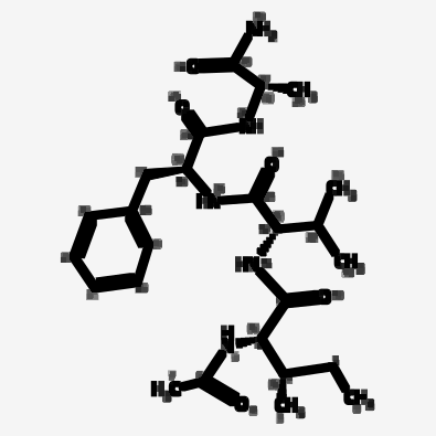 CC[C@H](C)[C@H](NC(C)=O)C(=O)N[C@H](C(=O)N[C@@H](Cc1ccccc1)C(=O)N[C@@H](C)C(N)=O)C(C)C